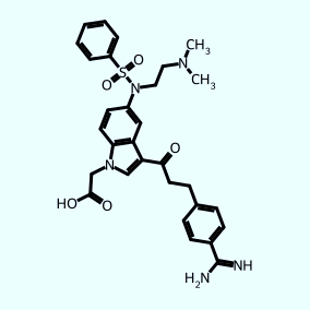 CN(C)CCN(c1ccc2c(c1)c(C(=O)CCc1ccc(C(=N)N)cc1)cn2CC(=O)O)S(=O)(=O)c1ccccc1